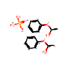 CC(O)Oc1ccccc1.CC(O)Oc1ccccc1.O=P(O)(O)O